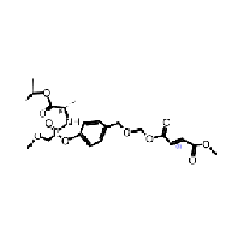 COCP(=O)(N[C@@H](C)C(=O)OC(C)C)Oc1ccc(COCOC(=O)/C=C/C(=O)OC)cc1